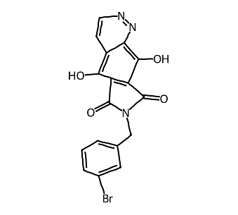 O=C1c2c(c(O)c3nnccc3c2O)C(=O)N1Cc1cccc(Br)c1